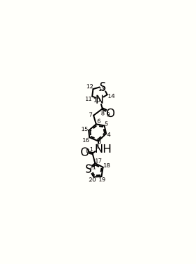 O=C(Nc1ccc(CC(=O)N2CCSC2)cc1)c1cccs1